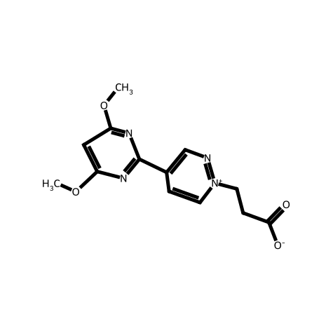 COc1cc(OC)nc(-c2cc[n+](CCC(=O)[O-])nc2)n1